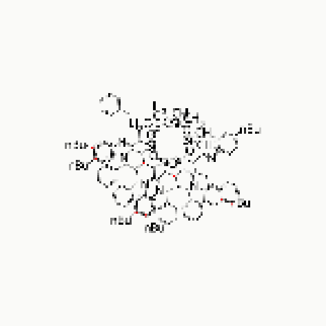 CCCCc1ccc(N=CC(CCCc2ccccc2)[Si]2(C(C=Nc3ccc(CCCC)cc3)CCCc3ccccc3)O[Si](C)(C)O[Si](C)(C)O[Si](C)(C)O[Si](C(C=Nc3ccc(CCCC)cc3)CCCc3ccccc3)(C(C=Nc3ccc(CCCC)cc3)CCCc3ccccc3)O[Si](C(C=Nc3ccc(CCCC)cc3)CCCc3ccccc3)(C(C=Nc3ccc(CCCC)cc3)CCCc3ccccc3)O2)cc1